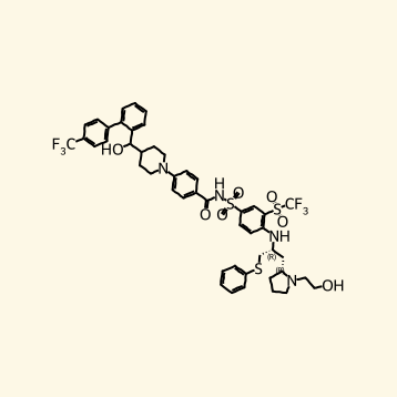 O=C(NS(=O)(=O)c1ccc(N[C@@H](CSc2ccccc2)C[C@H]2CCCN2CCO)c(S(=O)(=O)C(F)(F)F)c1)c1ccc(N2CCC(C(O)c3ccccc3-c3ccc(C(F)(F)F)cc3)CC2)cc1